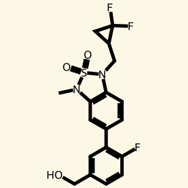 CN1c2cc(-c3cc(CO)ccc3F)ccc2N(CC2CC2(F)F)S1(=O)=O